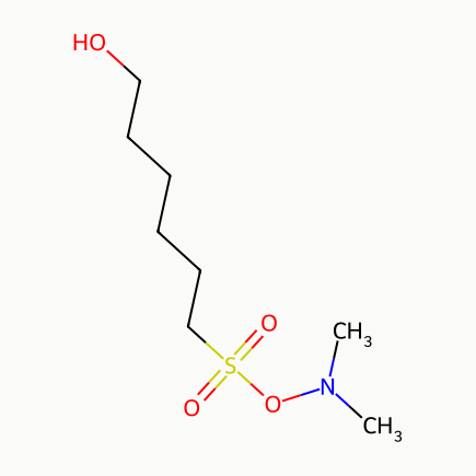 CN(C)OS(=O)(=O)CCCCCCO